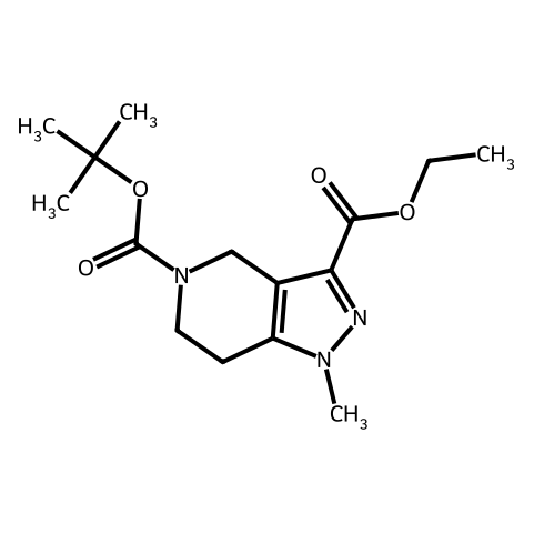 CCOC(=O)c1nn(C)c2c1CN(C(=O)OC(C)(C)C)CC2